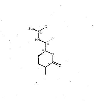 CC1CC[C@@H]([C@@H](C)N[S@+]([O-])C(C)(C)C)OC1=O